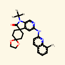 [2H]C([2H])([2H])N1C(=O)C2(CCC3(CC2)OCCO3)c2cc(Nc3ccc4cccc(C(F)(F)F)c4n3)ncc21